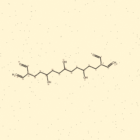 C=CN(C=O)CCC(O)CCC(O)CCC(O)CCN(C=C)C=O